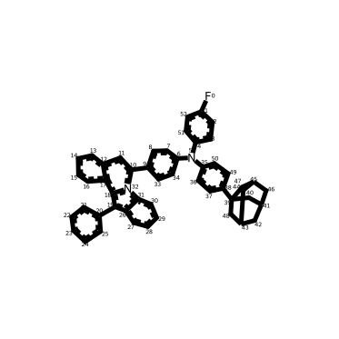 Fc1ccc(N(c2ccc(-c3cc4ccccc4c4c(-c5ccccc5)c5ccccc5n34)cc2)c2ccc(C34CC5CC(CC(C5)C3)C4)cc2)cc1